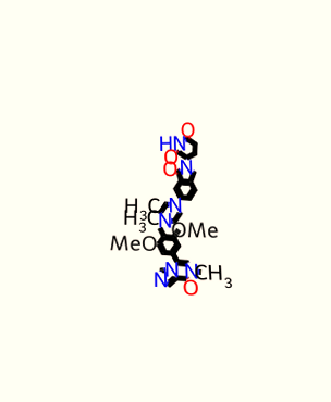 COc1cc(-c2cn(C)c(=O)c3cncn23)cc(OC)c1CN1CCN(c2ccc3c(c2)C(=O)N(C2CCC(=O)NC2=O)C3)CC1(C)C